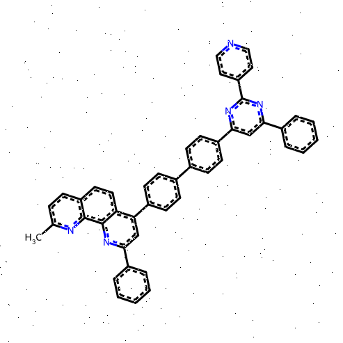 Cc1ccc2ccc3c(-c4ccc(-c5ccc(-c6cc(-c7ccccc7)nc(-c7ccncc7)n6)cc5)cc4)cc(-c4ccccc4)nc3c2n1